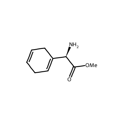 COC(=O)[C@H](N)C1=CCC=CC1